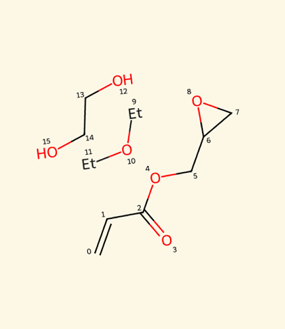 C=CC(=O)OCC1CO1.CCOCC.OCCO